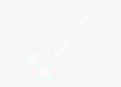 CCCCCCCC.F[B-](F)(F)F.[F][Ag]